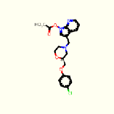 O=C(O)C(=O)On1cc(CN2CCO[C@H](COc3ccc(Cl)cc3)C2)c2cccnc21